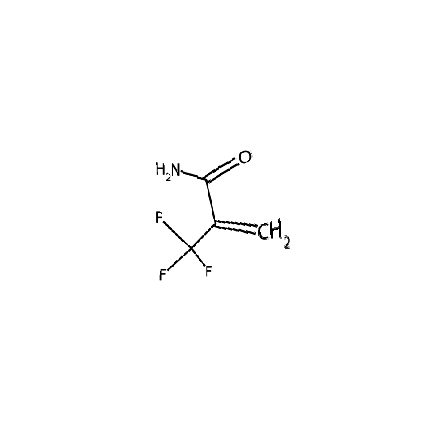 C=C(C(N)=O)C(F)(F)F